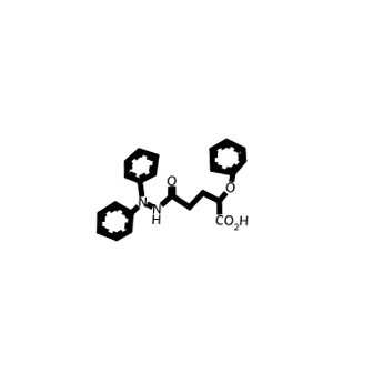 O=C(CCC(Oc1ccccc1)C(=O)O)NN(c1ccccc1)c1ccccc1